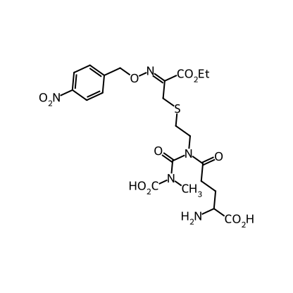 CCOC(=O)C(CSCCN(C(=O)CCC(N)C(=O)O)C(=O)N(C)C(=O)O)=NOCc1ccc([N+](=O)[O-])cc1